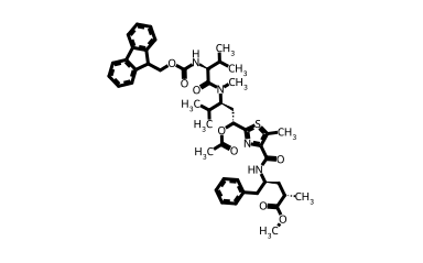 COC(=O)[C@@H](C)C[C@@H](Cc1ccccc1)NC(=O)c1nc([C@@H](C[C@@H](C(C)C)N(C)C(=O)[C@@H](NC(=O)OCC2c3ccccc3-c3ccccc32)C(C)C)OC(C)=O)sc1C